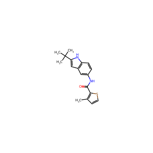 Cc1ccsc1C(=O)Nc1ccc2[nH]c(C(C)(C)C)cc2c1